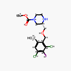 CC(C)(C)OC(=O)N1CCN[C@H](COCc2c(C(=O)O)cc(Cl)c(I)c2Cl)C1